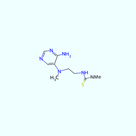 CNC(=S)NCCN(C)c1cncnc1N